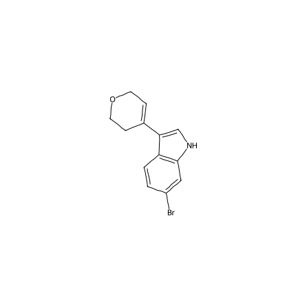 Brc1ccc2c(C3=CCOCC3)c[nH]c2c1